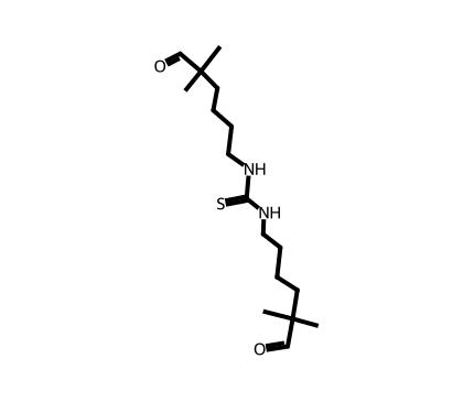 CC(C)(C=O)CCCCNC(=S)NCCCCC(C)(C)C=O